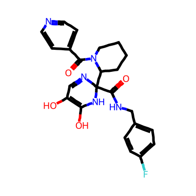 O=C(c1ccncc1)N1CCCCC1C1(C(=O)NCc2ccc(F)cc2)N=CC(O)=C(O)N1